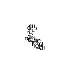 COc1cccc(CN2CC3(CCN(C(=O)c4c(F)ccc(C)c4Cl)CC3)OC2=O)c1